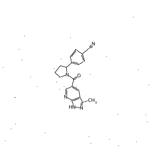 Cc1n[nH]c2ncc(C(=O)N3CCCC3c3ccc(C#N)cc3)cc12